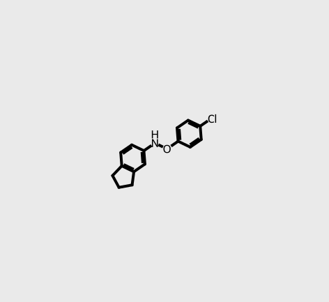 Clc1ccc(ONc2ccc3c(c2)CCC3)cc1